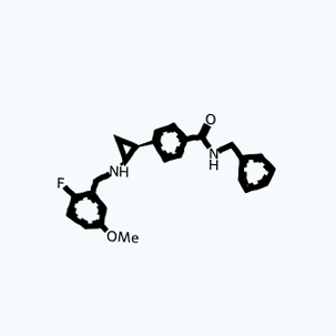 COc1ccc(F)c(CN[C@@H]2C[C@H]2c2ccc(C(=O)NCc3ccccc3)cc2)c1